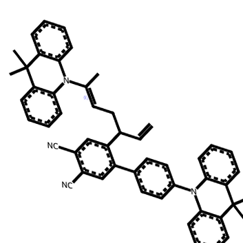 C=CC(C/C=C(\C)N1c2ccccc2C(C)(C)c2ccccc21)c1cc(C#N)c(C#N)cc1-c1ccc(N2c3ccccc3C(C)(C)c3ccccc32)cc1